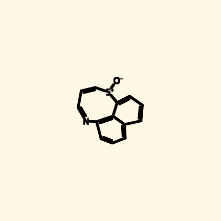 [O-][S+]1C=CC=Nc2cccc3cccc1c23